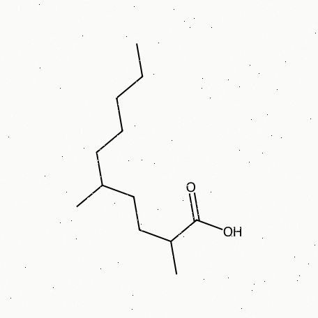 CCCCCC(C)CCC(C)C(=O)O